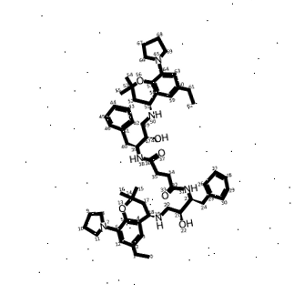 CCc1cc2c(c(N3CCCC3)c1)OC(C)(C)C[C@@H]2NC[C@H](O)[C@H](Cc1ccccc1)NC(=O)CCC(=O)N[C@@H](Cc1ccccc1)[C@@H](O)CN[C@@H]1CC(C)(C)Oc2c1cc(CC)cc2N1CCCC1